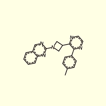 Cc1ccc(-c2nccnc2C2CN(c3ncc4ccccc4n3)C2)cc1